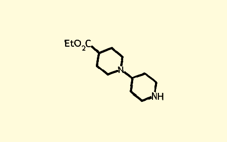 CCOC(=O)C1CCN(C2CCNCC2)CC1